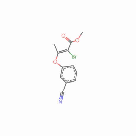 COC(=O)C(Br)=C(C)Oc1cccc(C#N)c1